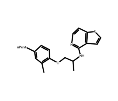 CCCCCc1ccc(OCC(C)Nc2nccc3sccc23)c(C)c1